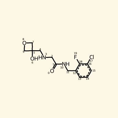 O=C(CNCC1(O)COC1)NCc1cccc(Cl)c1F